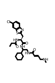 CCC(=O)N[C@@H](Cc1nc2ccc(Cl)cc2s1)C(=O)NC(CNC(=O)/C=C/CNC)C1CCCCC1